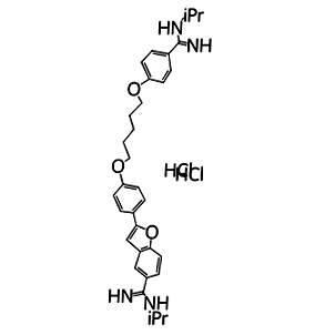 CC(C)NC(=N)c1ccc(OCCCCCOc2ccc(-c3cc4cc(C(=N)NC(C)C)ccc4o3)cc2)cc1.Cl.Cl